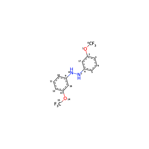 FC(F)(F)Oc1cccc(NNc2cccc(OC(F)(F)F)c2)c1